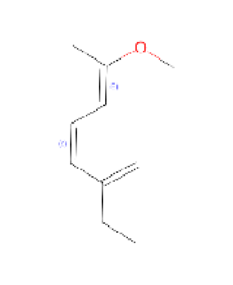 C=C(/C=C\C=C(/C)OC)CC